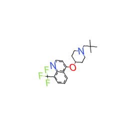 CC(C)(C)CN1CCC(Oc2ccnc3c(C(F)(F)F)cccc23)CC1